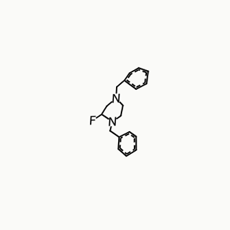 FC1CN(Cc2ccccc2)CCN1Cc1ccccc1